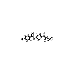 CC(C)(C)OC(=O)NC1CCC(CNc2ccc(I)cc2)CC1